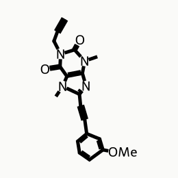 C#CCn1c(=O)c2c(nc(C#Cc3cccc(OC)c3)n2C)n(C)c1=O